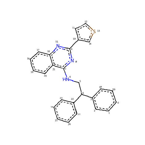 c1ccc(C(CNc2nc(-c3ccsc3)nc3ccccc23)c2ccccc2)cc1